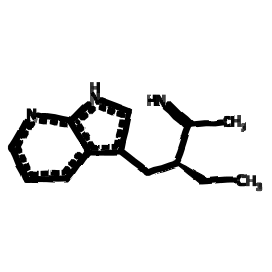 CC[C@@H](Cc1c[nH]c2ncccc12)C(C)=N